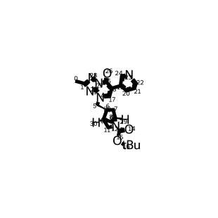 Cc1nc2n(C[C@H]3C[C@H]4C[C@@H]3CN4C(=O)OC(C)(C)C)cc(-c3cccnc3)c(=O)n2n1